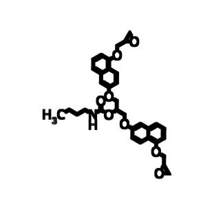 CCCCNC(=O)OC(COc1ccc2c(OCC3CO3)cccc2c1)COc1ccc2c(OCC3CO3)cccc2c1